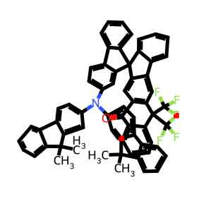 CC1(C)c2ccccc2-c2ccc(N(c3ccc4c(c3)C(C)(C)c3ccccc3-4)c3ccc4c(c3)C3(c5ccccc5-4)c4ccccc4-c4cc5c(cc43)C(=O)c3ccccc3C5(C(F)(F)F)C(F)(F)F)cc21